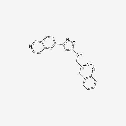 N[C@H](CNc1cc(-c2ccc3cnccc3c2)no1)Cc1ccccc1Cl